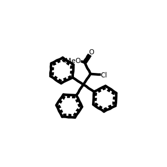 COC(=O)C(Cl)C(c1ccccc1)(c1ccccc1)c1ccccc1